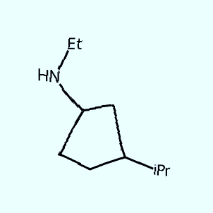 CCNC1CCC(C(C)C)C1